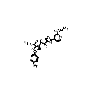 CC(C)c1ccc(-n2cc(NC(=O)c3coc(-c4ccnc(NCC(F)(F)F)c4)n3)c(C(N)=O)n2)cc1